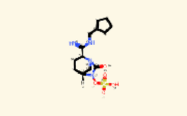 N=C(NCC1CCCC1)[C@@H]1CC[C@@H]2CN1C(=O)N2OS(=O)(=O)O